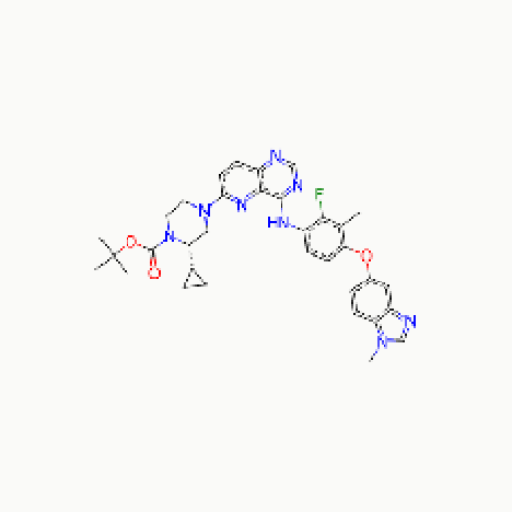 Cc1c(Oc2ccc3c(c2)ncn3C)ccc(Nc2ncnc3ccc(N4CCN(C(=O)OC(C)(C)C)[C@@H](C5CC5)C4)nc23)c1F